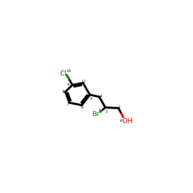 OCC(Br)Cc1cccc(Cl)c1